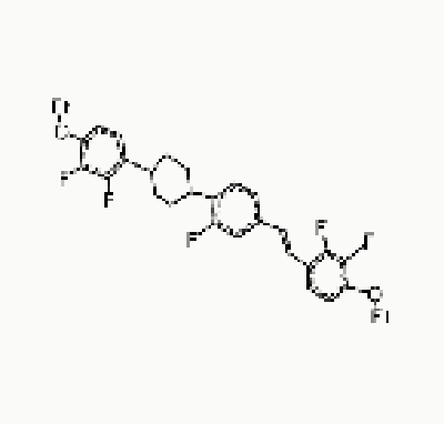 CCOc1ccc(/C=C/c2ccc(C3CCC(c4ccc(OCC)c(F)c4F)CC3)c(F)c2)c(F)c1F